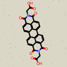 O=C(O)CN1C(=O)c2ccc3c4ccc5c6c(ccc(c7ccc(c2c37)C1=O)c64)C(=O)N(CC(=O)O)C5=O